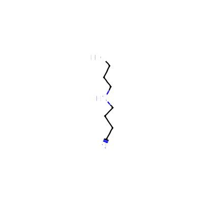 CCCCNCCCC#N